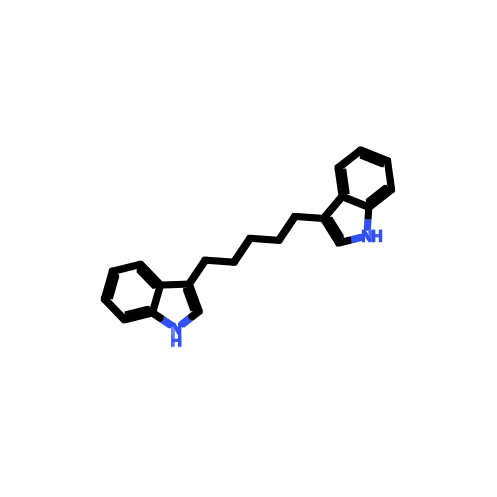 c1ccc2c(CCCCCc3c[nH]c4ccccc34)c[nH]c2c1